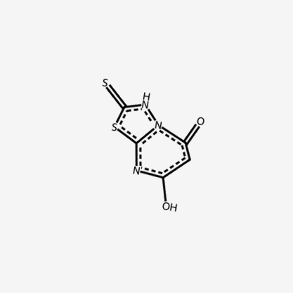 O=c1cc(O)nc2sc(=S)[nH]n12